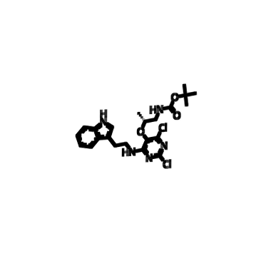 C[C@H](CNC(=O)OC(C)(C)C)Oc1c(Cl)nc(Cl)nc1NCCc1c[nH]c2ccccc12